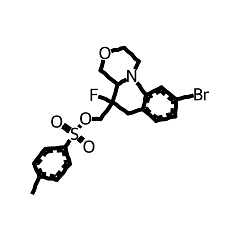 Cc1ccc(S(=O)(=O)OCC2(F)Cc3ccc(Br)cc3N3CCOCC32)cc1